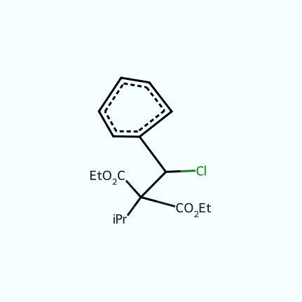 CCOC(=O)C(C(=O)OCC)(C(C)C)C(Cl)c1ccccc1